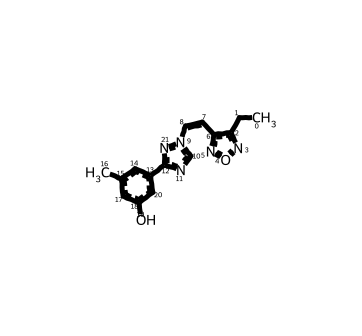 CCc1nonc1/C=C\n1cnc(-c2cc(C)cc(O)c2)n1